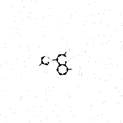 COc1cccc2c(-n3cc(F)cn3)cc(C)nc12